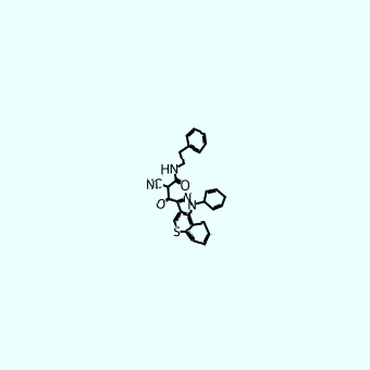 N#CC(C(=O)NCCc1ccccc1)C(=O)c1nn(C2C=CCC=C2)c2c1=CSC1=CC=CCC=21